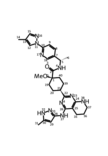 CO[C@]1(C(=O)N[C@@H](C)c2ccc(-n3cc(C)cn3)nc2)CC[C@H](c2nc3c(c(Nc4cc(C)[nH]n4)n2)CCCN3)CC1